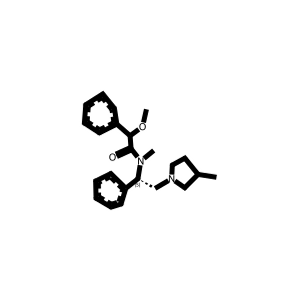 COC(C(=O)N(C)[C@H](CN1CCC(C)C1)c1ccccc1)c1ccccc1